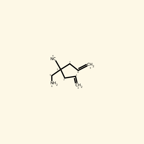 C=CCC(C#N)(CN)CC=C